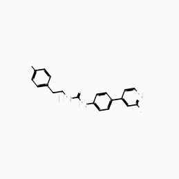 Cc1cc(-c2ccc(NC(=O)NCCc3ccc(Br)cc3)cc2)ccn1